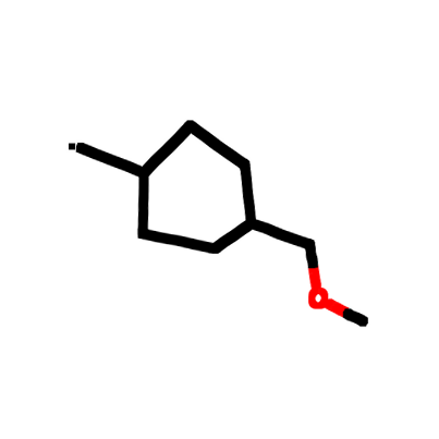 [CH2]C1CCC(COC)CC1